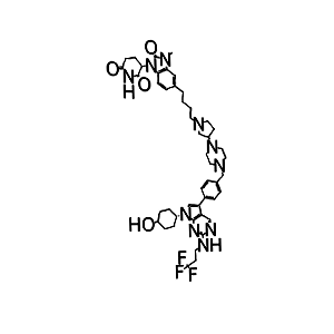 Cn1c(=O)n(C2CCC(=O)NC2=O)c2ccc(CCCCN3CCC(N4CCN(Cc5ccc(-c6cn([C@H]7CC[C@H](O)CC7)c7nc(NCCC(F)(F)F)ncc67)cc5)CC4)C3)cc21